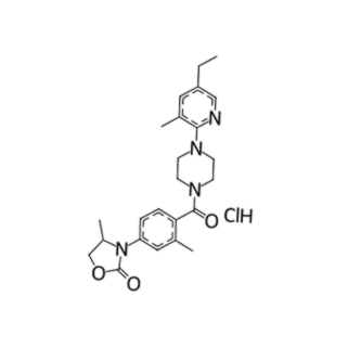 CCc1cnc(N2CCN(C(=O)c3ccc(N4C(=O)OCC4C)cc3C)CC2)c(C)c1.Cl